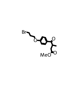 COC(=O)CC(C)C(=O)c1ccc(OCCCBr)cc1